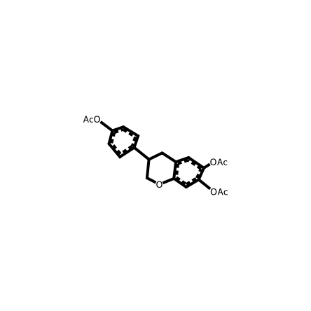 CC(=O)Oc1ccc(C2COc3cc(OC(C)=O)c(OC(C)=O)cc3C2)cc1